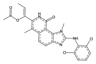 CC=C(OC(C)=O)c1[nH]c(=O)c2c(ccc3nc(Nc4c(Cl)cccc4Cl)n(C)c32)c1C